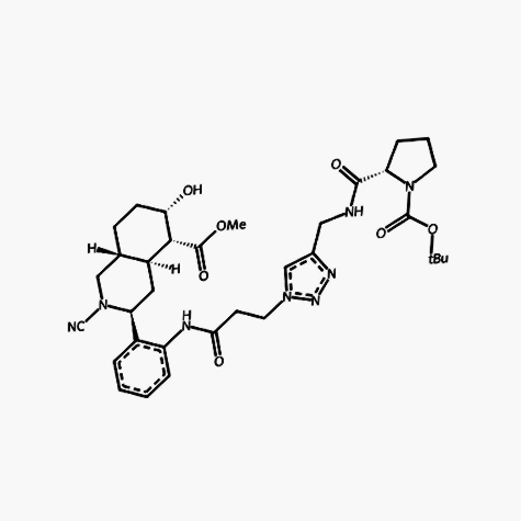 COC(=O)[C@@H]1[C@H]2C[C@@H](c3ccccc3NC(=O)CCn3cc(CNC(=O)[C@@H]4CCCN4C(=O)OC(C)(C)C)nn3)N(C#N)C[C@@H]2CC[C@@H]1O